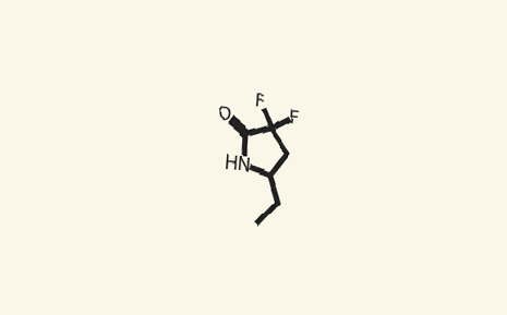 CCC1CC(F)(F)C(=O)N1